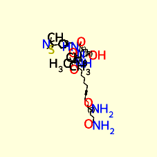 Cc1ncsc1-c1ccc(CNC(=O)[C@@H]2C[C@@H](O)CN2C(=O)[C@@H](NC(=O)CCCCCC#CCOC[C@@H](N)CCC(N)=O)C(C)(C)C)cc1